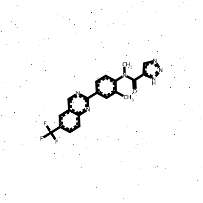 Cc1cc(-c2ncc3cc(C(F)(F)F)ccc3n2)ccc1N(C)C(=O)c1cnn[nH]1